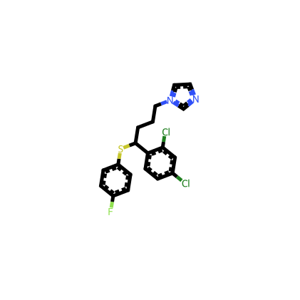 Fc1ccc(SC(CCCn2ccnc2)c2ccc(Cl)cc2Cl)cc1